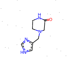 O=C1CN(Cc2c[nH]cn2)CCN1